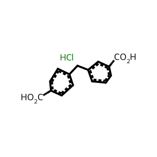 Cl.O=C(O)c1ccc(Cc2cccc(C(=O)O)c2)cc1